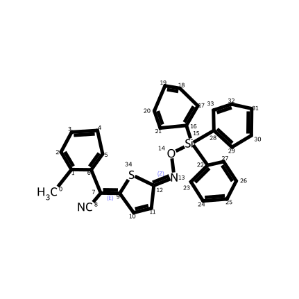 Cc1ccccc1/C(C#N)=C1C=C/C(=N/O[Si](c2ccccc2)(c2ccccc2)c2ccccc2)S/1